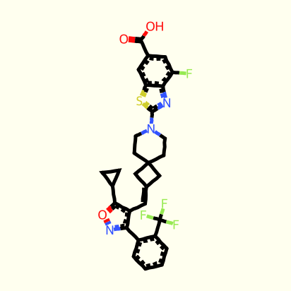 O=C(O)c1cc(F)c2nc(N3CCC4(CC3)CC(=Cc3c(-c5ccccc5C(F)(F)F)noc3C3CC3)C4)sc2c1